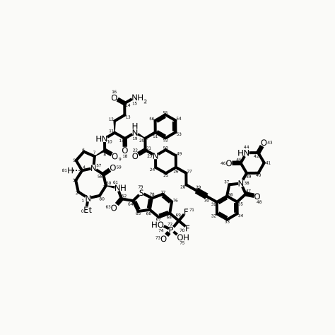 CCN1CC[C@H]2CC[C@@H](C(=O)N[C@@H](CCC(N)=O)C(=O)N[C@H](C(=O)N3CCC(CCC#Cc4cccc5c4CN(C4CCC(=O)NC4=O)C5=O)CC3)c3ccccc3)N2C(=O)[C@@H](NC(=O)c2cc3cc(C(F)(F)P(=O)(O)O)ccc3s2)C1